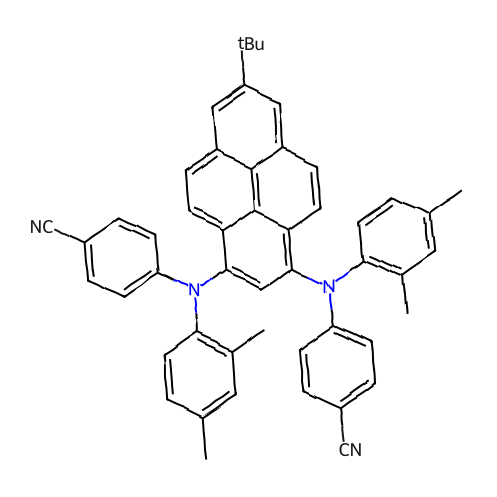 Cc1ccc(N(c2ccc(C#N)cc2)c2cc(N(c3ccc(C#N)cc3)c3ccc(C)cc3C)c3ccc4cc(C(C)(C)C)cc5ccc2c3c54)c(C)c1